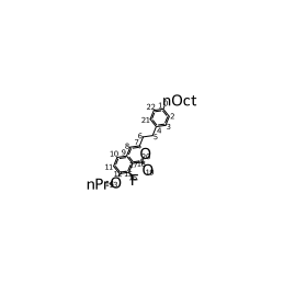 CCCCCCCCc1ccc(CCc2cc3ccc(OCCC)c(F)c3c(=O)o2)cc1